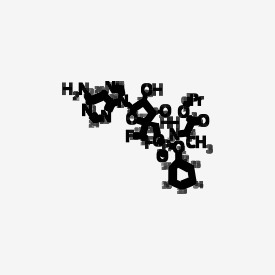 CC(C)OC(=O)[C@H](C)NP(=O)(OC[C@@]1(C(F)F)O[C@@H](n2cnc3c(N)ncnc32)[C@@H](O)[C@@H]1O)Oc1ccccc1